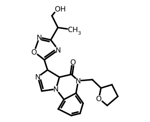 CC(CO)c1noc(C2N=CN3c4ccccc4N(CC4CCCO4)C(=O)C23)n1